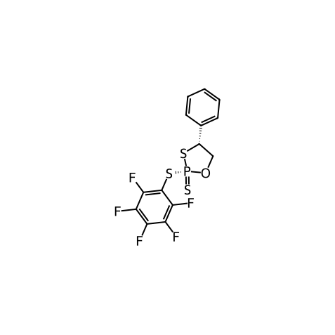 Fc1c(F)c(F)c(S[P@@]2(=S)OC[C@@H](c3ccccc3)S2)c(F)c1F